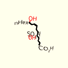 CCCCCC[C@@H](O)C/C=C\CCCCCCCC(=O)O.O=S(=O)(O)O